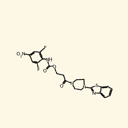 O=C(Nc1c(F)cc([N+](=O)[O-])cc1F)OCCC(=O)N1CCN(c2nc3ccccc3s2)CC1